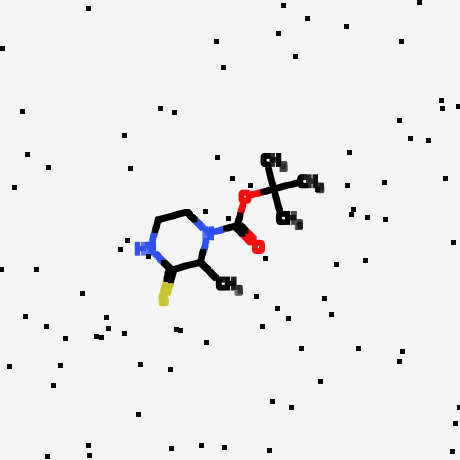 CC1C(=S)NCCN1C(=O)OC(C)(C)C